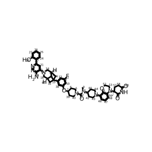 CN(C(=O)N1CCC(Oc2cc(F)cc(C34C[C@H]5CN(c6cc(-c7ccccc7O)nnc6N)C[C@@H](C3)C54)c2)CC1)C1CCN(c2cccc3c2OCCN3[C@@]2(C)CCC(=O)NC2=O)CC1